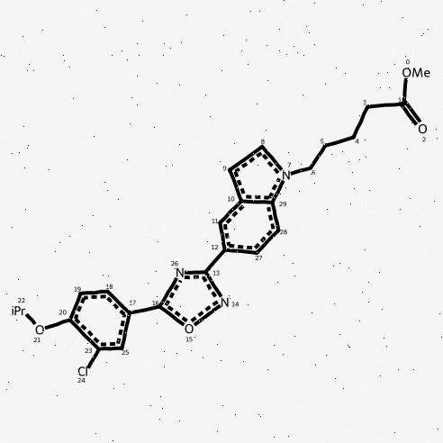 COC(=O)CCCCn1ccc2cc(-c3noc(-c4ccc(OC(C)C)c(Cl)c4)n3)ccc21